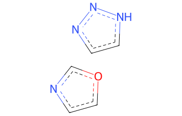 c1c[nH]nn1.c1cocn1